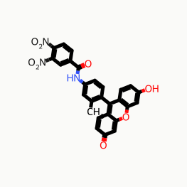 Cc1cc(NC(=O)c2ccc([N+](=O)[O-])c([N+](=O)[O-])c2)ccc1-c1c2ccc(=O)cc-2oc2cc(O)ccc12